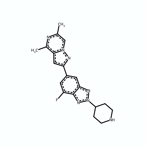 Cc1cn2nc(-c3cc(F)c4nn(C5CCNCC5)nc4c3)cc2c(C)n1